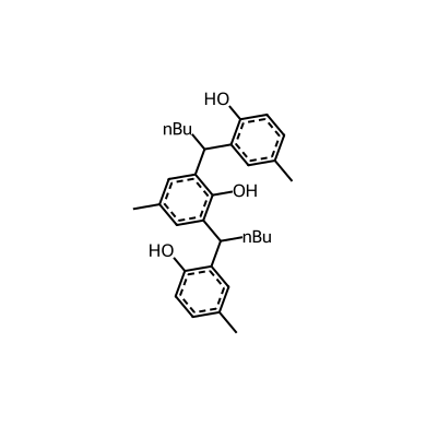 CCCCC(c1cc(C)ccc1O)c1cc(C)cc(C(CCCC)c2cc(C)ccc2O)c1O